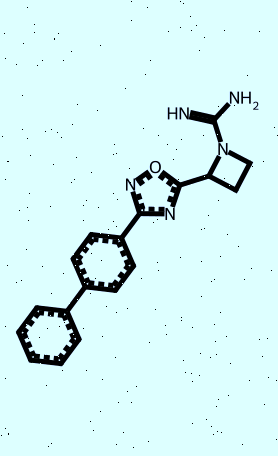 N=C(N)N1CCC1c1nc(-c2ccc(-c3ccccc3)cc2)no1